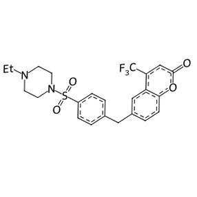 CCN1CCN(S(=O)(=O)c2ccc(Cc3ccc4oc(=O)cc(C(F)(F)F)c4c3)cc2)CC1